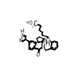 [2H]C1(N(Cc2ccccc2OCCCCCC(=O)O)C(=O)c2ccc(-c3cn[nH]c3)cc2)CCCC1